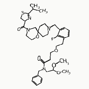 COC(CN(Cc1ccccc1)C(=O)CCOCCc1cccc(CN2CCC3(CC2)CN(C(=O)C2CSC(C(C)C)=N2)CCO3)c1F)OC